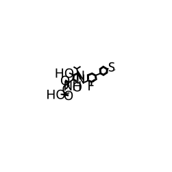 CSc1ccc(-c2ccc(Cn3nc(C(C)C)c(O)c(C(=O)NCC(=O)O)c3=O)c(F)c2)cc1